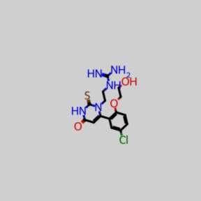 N=C(N)NCCn1c(-c2cc(Cl)ccc2OCCO)cc(=O)[nH]c1=S